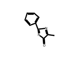 CC1=NC(c2ccccc2)=NC1=O